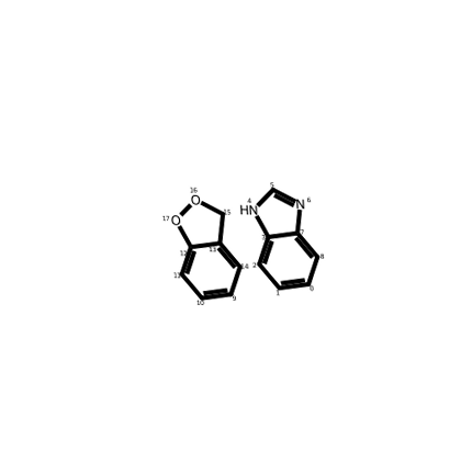 c1ccc2[nH]cnc2c1.c1ccc2c(c1)COO2